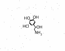 Cl.NCC(O)c1ccc(O)c(O)c1